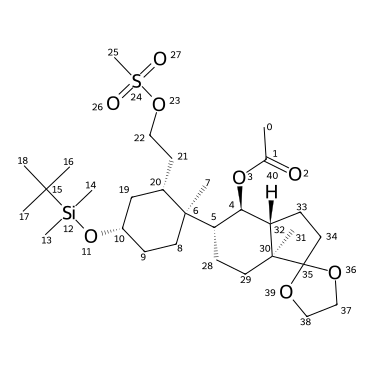 CC(=O)O[C@@H]1[C@@H]([C@@]2(C)CC[C@H](O[Si](C)(C)C(C)(C)C)C[C@@H]2CCOS(C)(=O)=O)CC[C@@]2(C)[C@H]1CCC21OCCO1